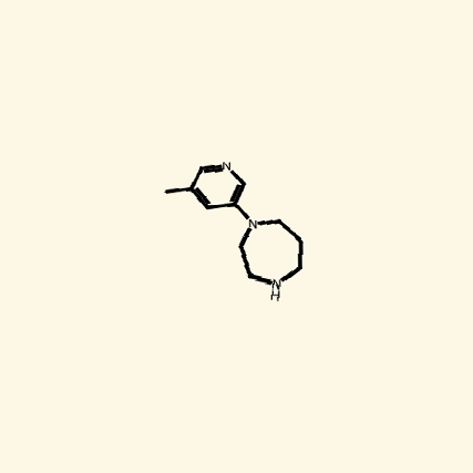 Cc1cncc(N2CCCNCC2)c1